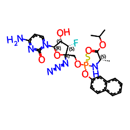 CC(C)OC(=O)[C@H](C)NP(=S)(OC[C@@]1(N=[N+]=[N-])O[C@@H](n2ccc(N)nc2=O)[C@H](O)[C@@H]1F)Oc1ccc2ccccc2c1